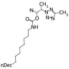 CCCCCCCCCCCCCCCCCCNC(=O)OC([N])C(C)n1nnc(C)n1